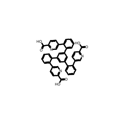 O=C(O)c1ccc(-c2ccccc2-c2cc(-c3ccccc3-c3ccc(C(=O)O)nc3)cc(-c3ccccc3-c3ccc(C(=O)O)nc3)c2)cn1